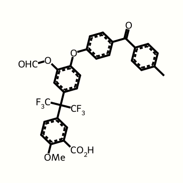 COc1ccc(C(c2ccc(Oc3ccc(C(=O)c4ccc(C)cc4)cc3)c(OC=O)c2)(C(F)(F)F)C(F)(F)F)cc1C(=O)O